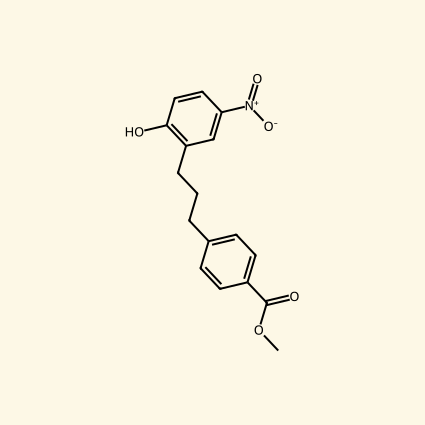 COC(=O)c1ccc(CCCc2cc([N+](=O)[O-])ccc2O)cc1